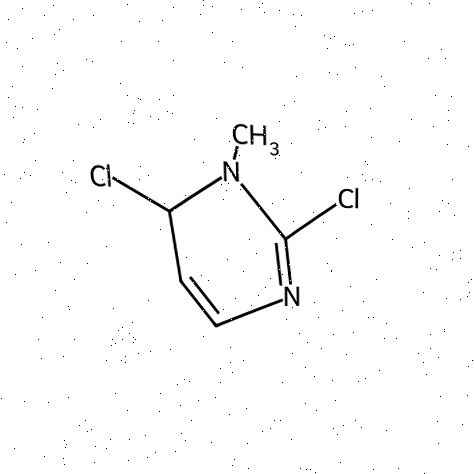 CN1C(Cl)=NC=CC1Cl